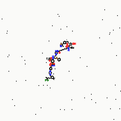 C=C(CCC1=C(CN2CCN(c3ccc(C(=O)NS(=O)(=O)c4ccc(N[C@H](CCN5CC[C@@H](NC(=O)CCCCCCC(=O)N[C@H](C(=O)C6C[C@H](O)C[C@H]6C(=O)C[C@@H](C)c6ccc(-c7scnc7C)cc6)C(C)(C)C)C5)CSc5ccccc5)c(S(=O)(=O)C(F)(F)F)c4)cc3)CC2)CCC(C)(C)C1)C(F)F